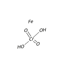 [Fe].[O]=[Cr](=[O])([OH])[OH]